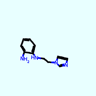 Nc1ccccc1NCCn1ccnc1